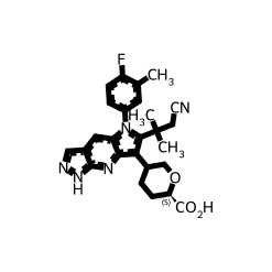 Cc1cc(-n2c(C(C)(C)CC#N)c(C3CC[C@@H](C(=O)O)OC3)c3nc4[nH]ncc4cc32)ccc1F